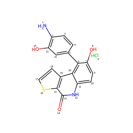 Cl.Nc1ccc(-c2c(O)ccc3[nH]c(=O)c4sccc4c23)cc1O